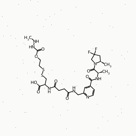 CNNC(=O)OCCSSCC(NC(=O)CCC(=O)NCc1cc(C(=O)N[C@H](C)C(=O)N2CC(F)(F)C[C@H]2C)ccn1)C(=O)O